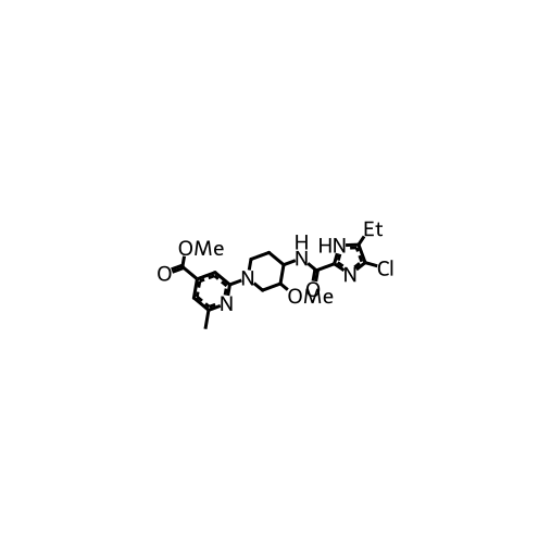 CCc1[nH]c(C(=O)NC2CCN(c3cc(C(=O)OC)cc(C)n3)CC2OC)nc1Cl